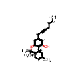 CC1=CC[C@@H]2[C@@H](C1)c1c(O)cc(CC#CCCCC#N)cc1OC2(C)C